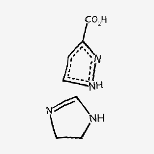 C1=NCCN1.O=C(O)c1cc[nH]n1